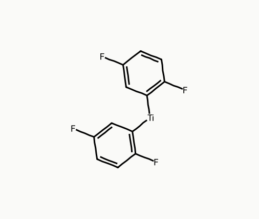 Fc1ccc(F)[c]([Ti][c]2cc(F)ccc2F)c1